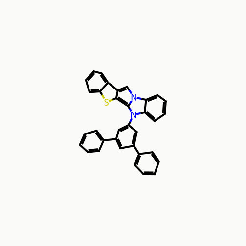 c1ccc(-c2cc(-c3ccccc3)cc(-n3c4ccccc4n4cc5c6ccccc6sc5c34)c2)cc1